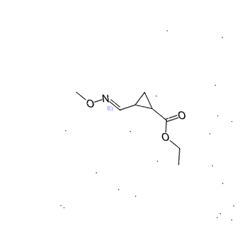 CCOC(=O)C1CC1/C=N/OC